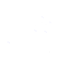 CCn1cnc2c(=O)n(-c3ccc(C#N)cc3)c(CC(C)CC(F)(F)F)nc21